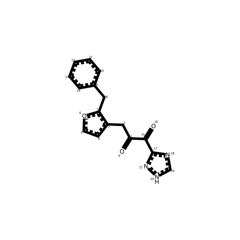 O=C(Cc1ccoc1Cc1ccccc1)C(=O)c1nc[nH]n1